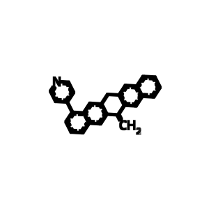 C=C1c2cc3ccccc3cc2Cc2cc3c(-c4ccncc4)cccc3cc21